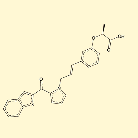 C[C@H](Oc1cccc(/C=C/Cn2cccc2C(=O)c2cc3ccccc3s2)c1)C(=O)O